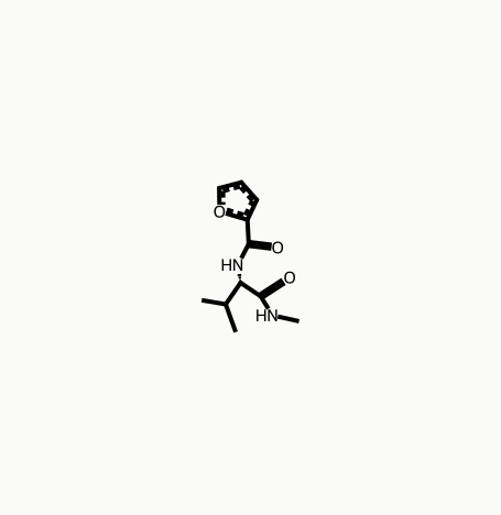 CNC(=O)[C@@H](NC(=O)c1ccco1)C(C)C